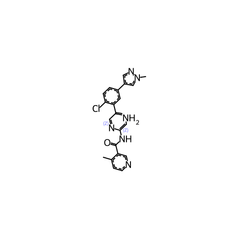 C=C(/C=N\C(=C/N)NC(=O)c1cnccc1C)c1cc(-c2cnn(C)c2)ccc1Cl